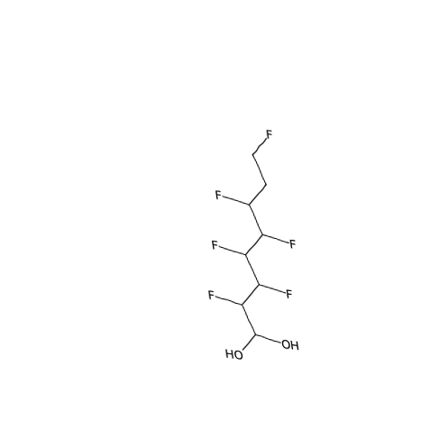 OC(O)C(F)C(F)C(F)C(F)C(F)CCF